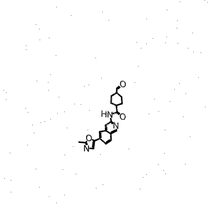 Cc1ncc(-c2ccc3cnc(NC(=O)C4CCC(C=O)CC4)cc3c2)o1